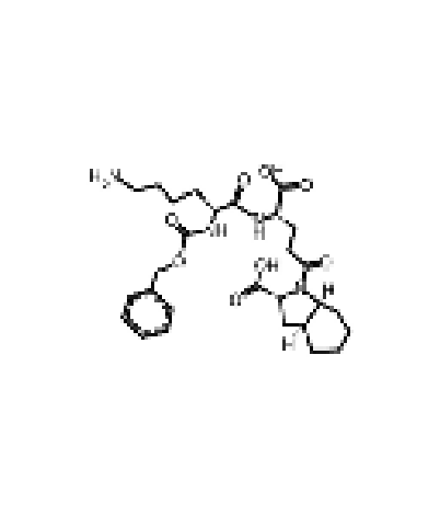 NCCCC[C@H](NC(=O)OCc1ccccc1)C(=O)N[C@H](CCC(=O)N1[C@H](C(=O)O)C[C@@H]2CCCC[C@@H]21)C(=O)O